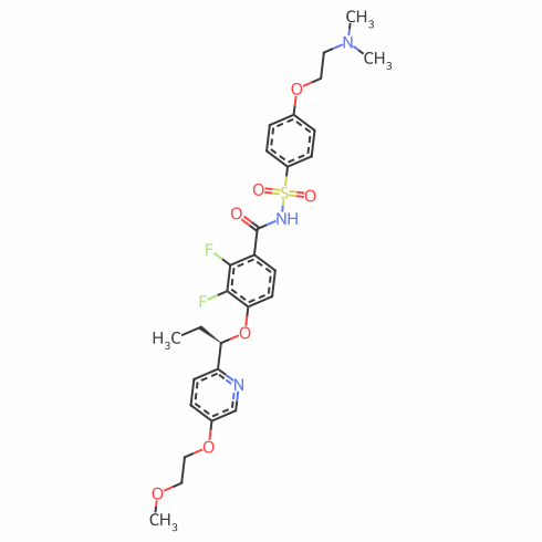 CC[C@@H](Oc1ccc(C(=O)NS(=O)(=O)c2ccc(OCCN(C)C)cc2)c(F)c1F)c1ccc(OCCOC)cn1